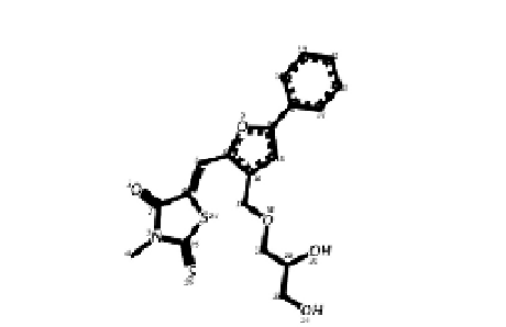 CN1C(=O)/C(=C/c2oc(-c3ccccc3)cc2COCC(O)CO)SC1=S